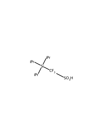 CC(C)[Si](C(C)C)(C(C)C)C(F)(F)F.CS(=O)(=O)O